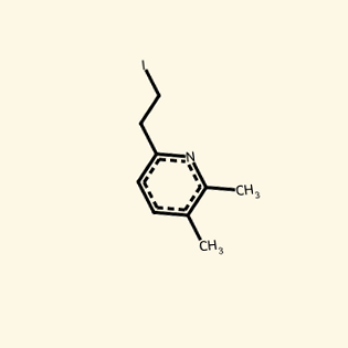 Cc1ccc(CCI)nc1C